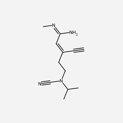 C#C/C(=C\C(N)=N/C)CCN(C#N)C(C)C